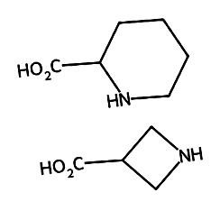 O=C(O)C1CCCCN1.O=C(O)C1CNC1